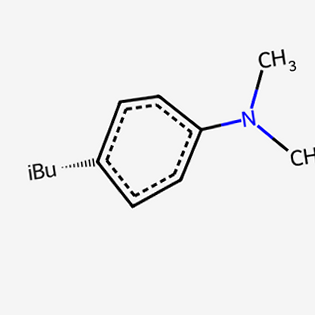 CC[C@@H](C)c1ccc(N(C)C)cc1